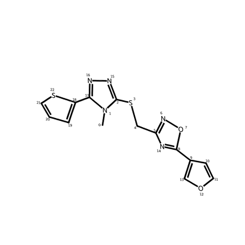 Cn1c(SCc2noc(-c3ccoc3)n2)nnc1-c1cccs1